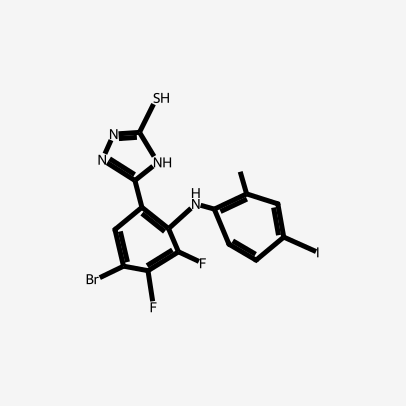 Cc1cc(I)ccc1Nc1c(-c2nnc(S)[nH]2)cc(Br)c(F)c1F